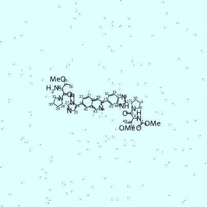 COC(=O)N[C@H](C(=O)N1CCC[C@H]1c1nc2ccc(-c3cc4ccc(-c5cnc([C@@H]6CCCN6C(=O)[C@@H](N)[C@@H](C)OC)[nH]5)cc4cn3)cc2[nH]1)[C@@H](C)OC